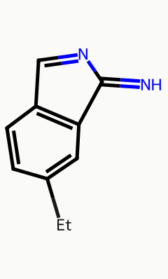 CCc1ccc2c(c1)C(=N)N=C2